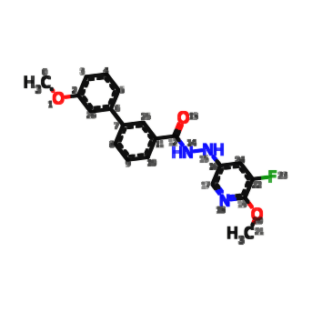 COc1cccc(-c2cccc(C(=O)NNc3cnc(OC)c(F)c3)c2)c1